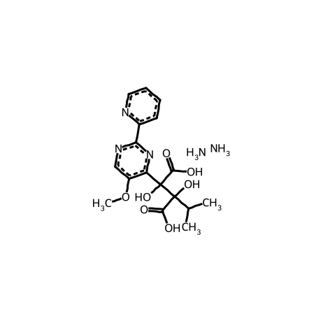 COc1cnc(-c2ccccn2)nc1C(O)(C(=O)O)C(O)(C(=O)O)C(C)C.N.N